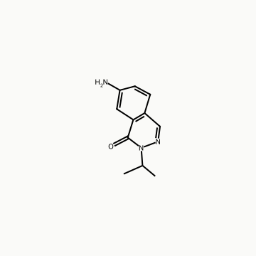 CC(C)n1ncc2ccc(N)cc2c1=O